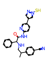 CC(CNC(C(=O)Nc1ccc(-c2cnn(S)c2)cn1)c1ccccc1)c1ccc(C#N)cc1